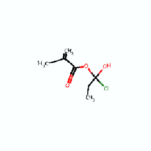 C=C(C)C(=O)OC(O)(Cl)CC